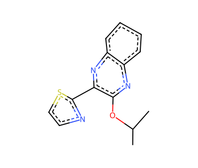 CC(C)Oc1nc2ccccc2nc1-c1nccs1